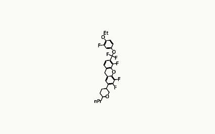 CCCC1CCC(c2cc3c(c(F)c2F)Oc2c(ccc(C(F)(F)Oc4ccc(OCC)c(F)c4)c2F)C3)CO1